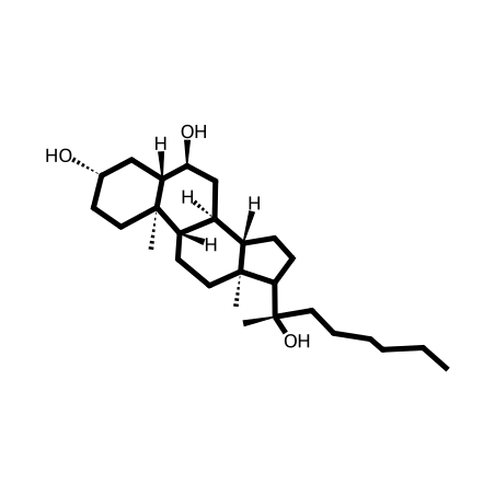 CCCCCC[C@](C)(O)C1CC[C@H]2[C@@H]3C[C@H](O)[C@H]4C[C@@H](O)CC[C@]4(C)[C@H]3CC[C@]12C